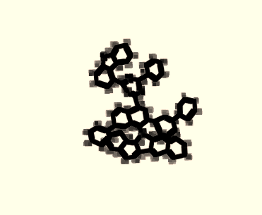 c1ccc(-c2cccc(-c3cc(-c4nc(-c5ccccc5)nc(-c5cccc6sc7ccccc7c56)n4)c4ccc(-c5ccccc5)cc4c3-n3c4cc5ccccc5cc4c4ccc5ccccc5c43)c2)cc1